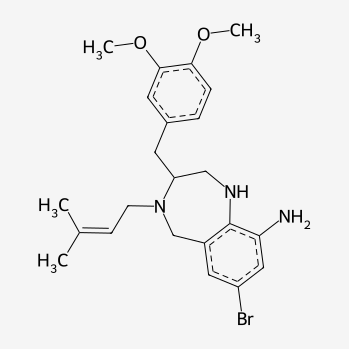 COc1ccc(CC2CNc3c(N)cc(Br)cc3CN2CC=C(C)C)cc1OC